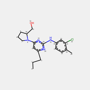 CCCc1cc(N2CCCC2CO)nc(Nc2ccc(C)c(Cl)c2)n1